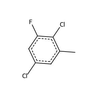 Cc1cc(Cl)cc(F)c1Cl